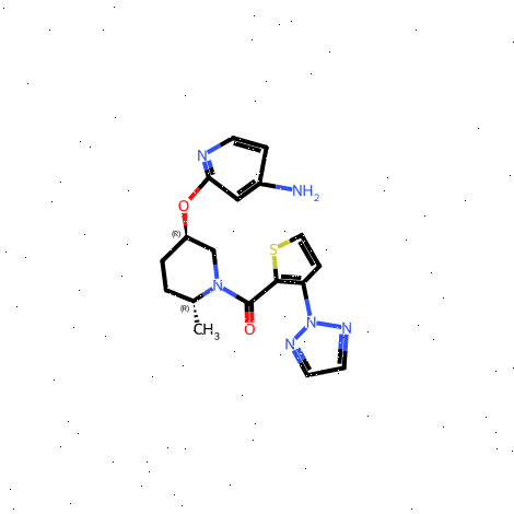 C[C@@H]1CC[C@@H](Oc2cc(N)ccn2)CN1C(=O)c1sccc1-n1nccn1